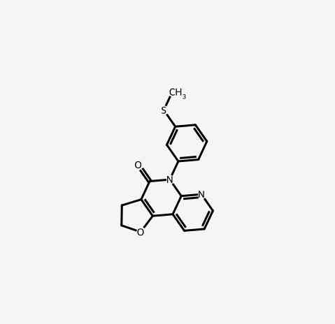 CSc1cccc(-n2c(=O)c3c(c4cccnc42)OCC3)c1